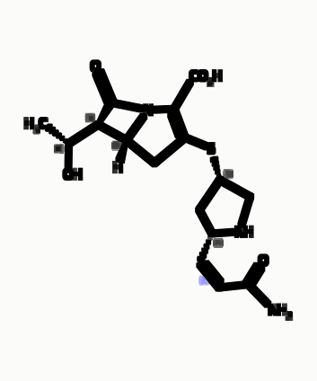 C[C@@H](O)[C@H]1C(=O)N2C(C(=O)O)=C(S[C@@H]3CN[C@H](/C=C\C(N)=O)C3)C[C@H]12